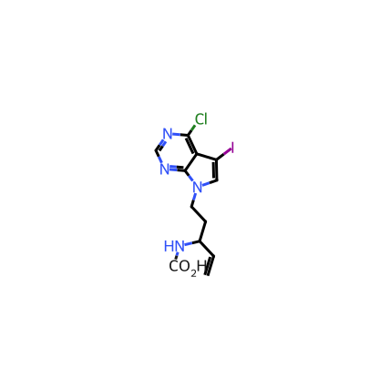 C=CC(CCn1cc(I)c2c(Cl)ncnc21)NC(=O)O